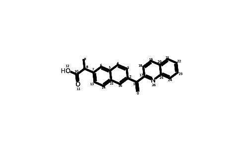 C=C(c1ccc2cc(C(C)C(=O)O)ccc2c1)c1ccc2ccccc2n1